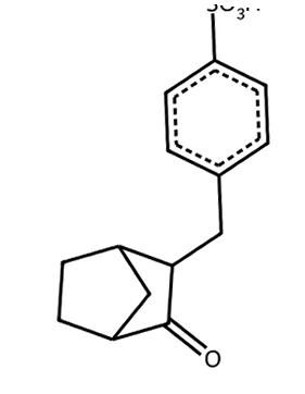 O=C1C2CCC(C2)C1Cc1ccc(S(=O)(=O)O)cc1